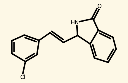 O=C1NC(C=Cc2cccc(Cl)c2)c2ccccc21